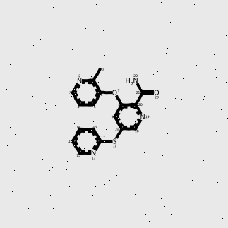 Cc1ncccc1Oc1cc(Sc2ccccn2)cnc1C(N)=O